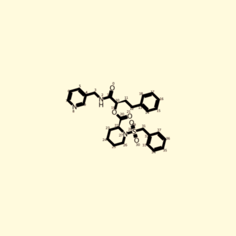 O=C(NCc1cccnc1)[C@@H](CCc1ccccc1)OC(=O)[C@@H]1CCCCN1S(=O)(=O)Cc1ccccc1